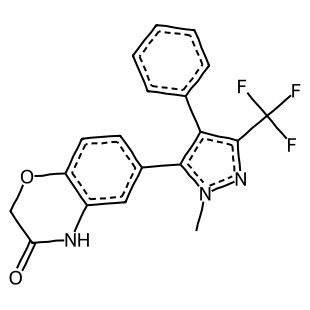 Cn1nc(C(F)(F)F)c(-c2ccccc2)c1-c1ccc2c(c1)NC(=O)CO2